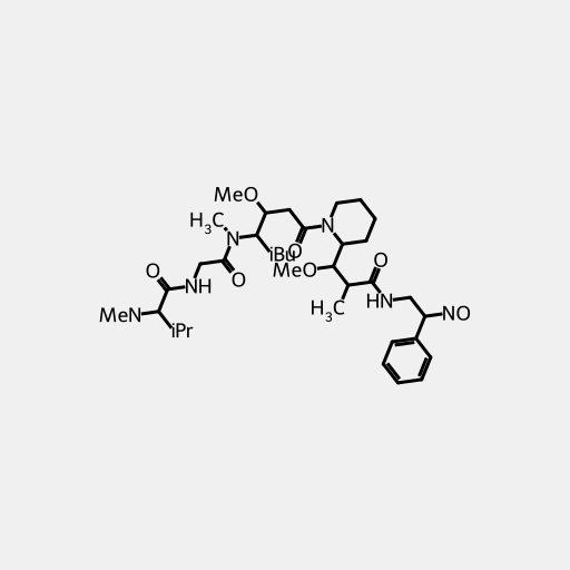 CCC(C)C(C(CC(=O)N1CCCCC1C(OC)C(C)C(=O)NCC(N=O)c1ccccc1)OC)N(C)C(=O)CNC(=O)C(NC)C(C)C